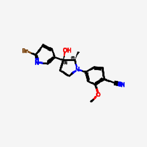 COc1cc(N2CC[C@@](O)(c3ccc(Br)nc3)[C@@H]2C)ccc1C#N